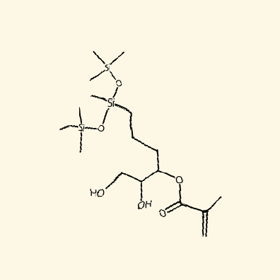 C=C(C)C(=O)OC(CCC[Si](C)(O[Si](C)(C)C)O[Si](C)(C)C)C(O)CO